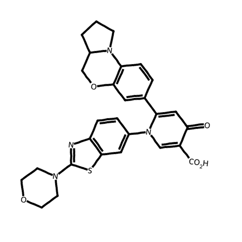 O=C(O)c1cn(-c2ccc3nc(N4CCOCC4)sc3c2)c(-c2ccc3c(c2)OCC2CCCN32)cc1=O